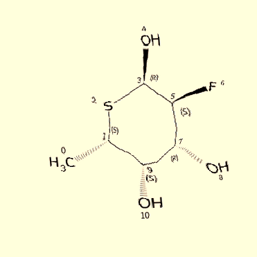 C[C@@H]1S[C@@H](O)[C@@H](F)[C@H](O)[C@@H]1O